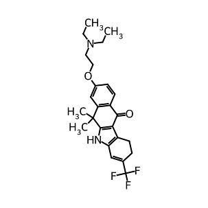 CCN(CC)CCOc1ccc2c(c1)C(C)(C)c1[nH]c3c(c1C2=O)CCC(C(F)(F)F)=C3